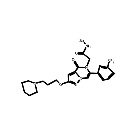 CC(C)(C)NC(=O)Cn1c(-c2cccc(C(F)(F)F)c2)cn2nc(OCCCN3CCCCC3)cc2c1=O